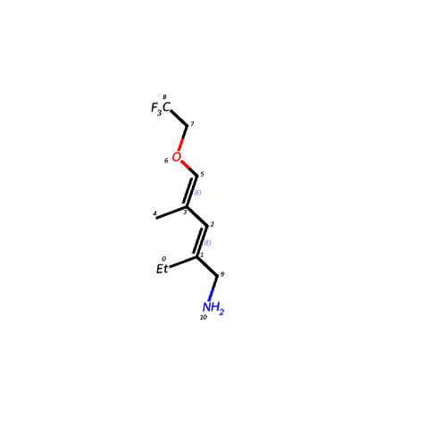 CC/C(=C\C(C)=C\OCC(F)(F)F)CN